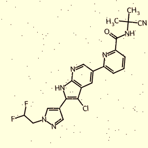 CC(C)(C#N)NC(=O)c1cccc(-c2cnc3[nH]c(-c4cnn(CC(F)F)c4)c(Cl)c3c2)n1